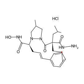 CCC[C@@](CC(C)C)(C(=O)NN)C(=O)N1CC(C)CN1[C@@H](C/C=C/c1ccccc1)C(=O)NO.Cl